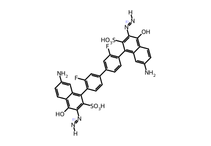 [H]/N=N/c1c(S(=O)(=O)O)c(-c2ccc(-c3ccc(-c4c(S(=O)(=O)O)c(/N=N/[H])c(O)c5ccc(N)cc45)c(F)c3)cc2F)c2cc(N)ccc2c1O